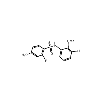 COc1c(Cl)cccc1NS(=O)(=O)c1ccc(C)cc1F